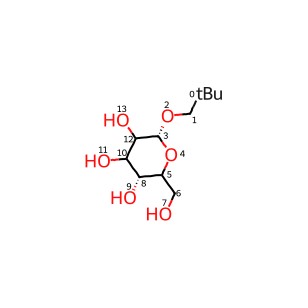 CC(C)(C)CO[C@@H]1OC(CO)[C@H](O)C(O)C1O